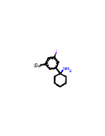 CC(C)(C)c1cc(I)cc(C2(N)CCCCC2)c1